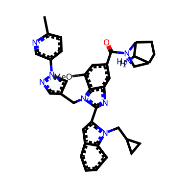 COc1cc(C(=O)N2CC3CCC2[C@@H]3N)cc2nc(-c3cc4ccccc4n3CC3CC3)n(Cc3cnn(-c4ccc(C)nc4)c3)c12